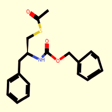 CC(=O)SC[C@H](Cc1ccccc1)NC(=O)OCc1ccccc1